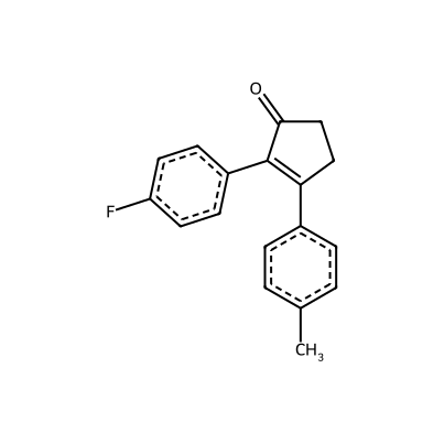 Cc1ccc(C2=C(c3ccc(F)cc3)C(=O)CC2)cc1